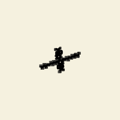 C=C(C)C(=O)Oc1ccc(-c2c(CCCCCCCCCCC)cc(OC(=O)C(=C)C)cc2CCCCCCCCCCC)cc1